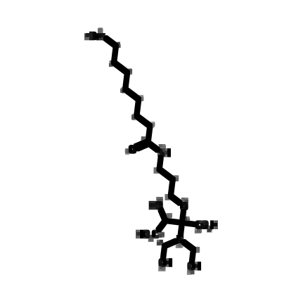 CCCCCCCCCCCCCCCCCC(=O)NCCCOC(C(=O)O)(C(O)C(=O)O)N(CO)CO